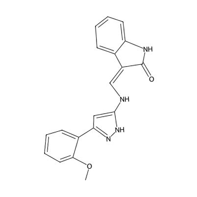 COc1ccccc1-c1cc(NC=C2C(=O)Nc3ccccc32)[nH]n1